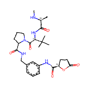 CN[C@@H](C)C(=O)N[C@H](C(=O)N1CCCC1C(=O)NCc1cccc(NC(=O)[C@H]2CCC(=O)O2)c1)C(C)(C)C